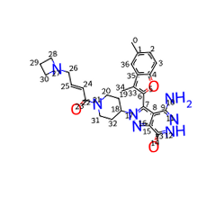 Cc1ccc2oc(-c3c4c(N)n[nH]c(=O)c4nn3C3CCN(C(=O)/C=C/CN4CCC4)CC3)c(C)c2c1